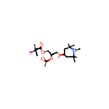 CC(=O)OC(COC(=O)C(C)(C)I)COC1CC(C)(C)N(C)C(C)(C)C1